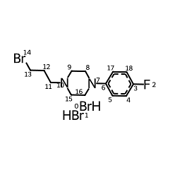 Br.Br.Fc1ccc(N2CCN(CCCBr)CC2)cc1